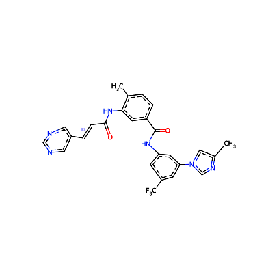 Cc1cn(-c2cc(NC(=O)c3ccc(C)c(NC(=O)/C=C/c4cncnc4)c3)cc(C(F)(F)F)c2)cn1